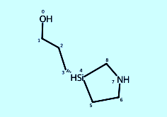 OCCC[Si@H]1CCNC1